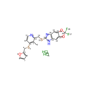 Cc1c(SCc2ccco2)ccnc1CSc1nc2cc3c(cc2[nH]1)OC(F)(F)O3.Cl.Cl